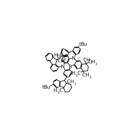 Cc1cc2c3c(c1)N(c1cccc4c1C(C)(C)c1ccccc1-4)c1cc(C4c5ccc(C(C)(C)C)cc5C5(C)CCCCC45C)ccc1B3c1cc3c(cc1N2c1ccc(C(C)(C)C)cc1-c1ccccc1)C(C)(C)CCC3(C)C